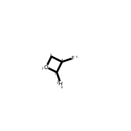 [2H]C1OCC1F